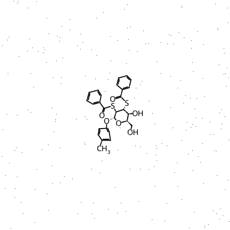 Cc1ccc(O[C@H]2O[C@H](CO)[C@H](O)[C@@H](SC(=O)c3ccccc3)[C@@H]2SC(=O)c2ccccc2)cc1